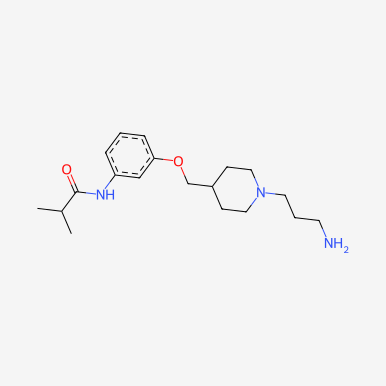 CC(C)C(=O)Nc1cccc(OCC2CCN(CCCN)CC2)c1